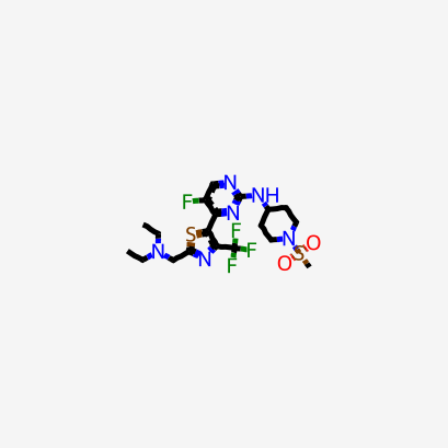 CCN(CC)Cc1nc(C(F)(F)F)c(-c2nc(NC3CCN(S(C)(=O)=O)CC3)ncc2F)s1